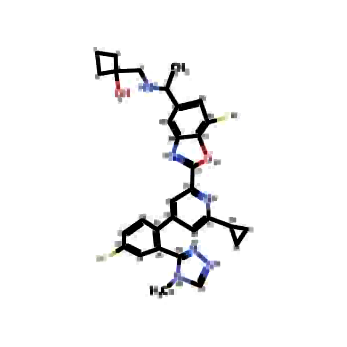 CC(NCC1(O)CCC1)c1cc(F)c2oc(-c3cc(-c4ccc(F)cc4-c4nncn4C)cc(C4CC4)n3)nc2c1